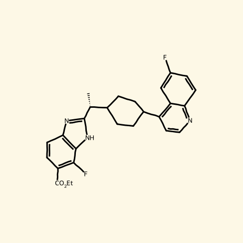 CCOC(=O)c1ccc2nc([C@H](C)C3CCC(c4ccnc5ccc(F)cc45)CC3)[nH]c2c1F